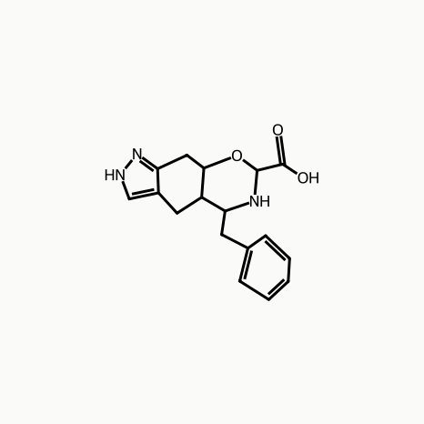 O=C(O)C1NC(Cc2ccccc2)C2Cc3c[nH]nc3CC2O1